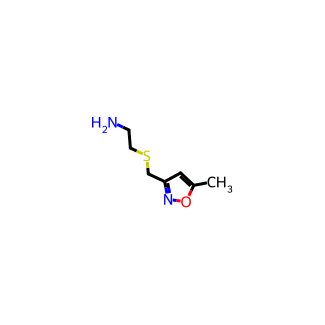 Cc1cc(CSCCN)no1